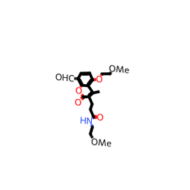 COCCNC(=O)CCc1c(C)c2c(OCCOC)ccc(C=O)c2oc1=O